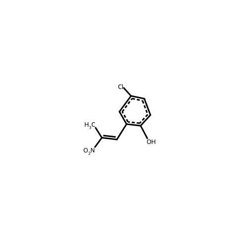 CC(=Cc1cc(Cl)ccc1O)[N+](=O)[O-]